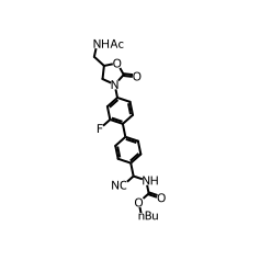 CCCCOC(=O)NC(C#N)c1ccc(-c2ccc(N3CC(CNC(C)=O)OC3=O)cc2F)cc1